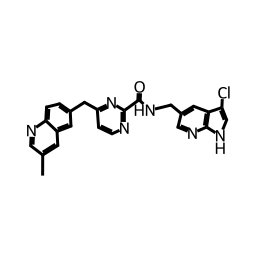 Cc1cnc2ccc(Cc3ccnc(C(=O)NCc4cnc5[nH]cc(Cl)c5c4)n3)cc2c1